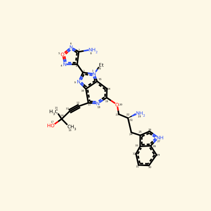 CCn1c(-c2nonc2N)nc2c(C#CC(C)(C)O)nc(OC[C@@H](N)Cc3c[nH]c4ccccc34)cc21